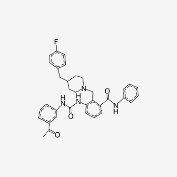 CC(=O)c1cccc(NC(=O)Nc2cccc(C(=O)Nc3ccccc3)c2CN2CCC(Cc3ccc(F)cc3)CC2)c1